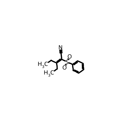 CCC(CC)=C(C#N)S(=O)(=O)c1ccccc1